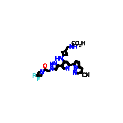 N#Cc1cnn2c(-c3cc(NC4CC(CNC(=O)O)C4)c(-c4cn(CC(=O)N5CC(F)(F)C5)nn4)cn3)ccc2c1